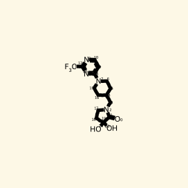 O=C1N(CC2CCN(c3ccnc(C(F)(F)F)n3)CC2)CCC1(O)O